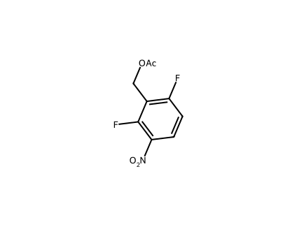 CC(=O)OCc1c(F)ccc([N+](=O)[O-])c1F